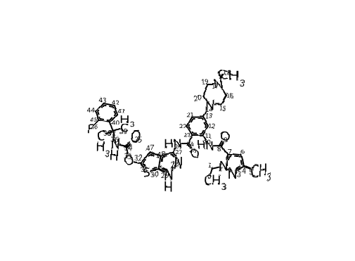 CCn1nc(C)cc1C(=O)Nc1cc(N2CCN(C)CC2)ccc1C(=O)Nc1n[nH]c2sc(OC(=O)NC(C)(C)c3ccccc3F)cc12